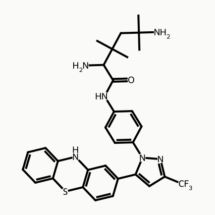 CC(C)(N)CC(C)(C)C(N)C(=O)Nc1ccc(-n2nc(C(F)(F)F)cc2-c2ccc3c(c2)Nc2ccccc2S3)cc1